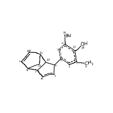 Cc1cc(C2C=CC3C4C=CC(C4)C23)cc(C(C)(C)C)c1O